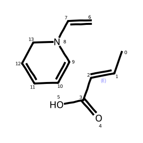 C/C=C/C(=O)O.C=CN1C=CC=CC1